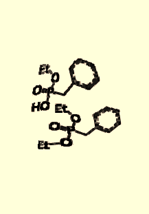 CCOP(=O)(Cc1ccccc1)OCC.CCOP(=O)(O)Cc1ccccc1